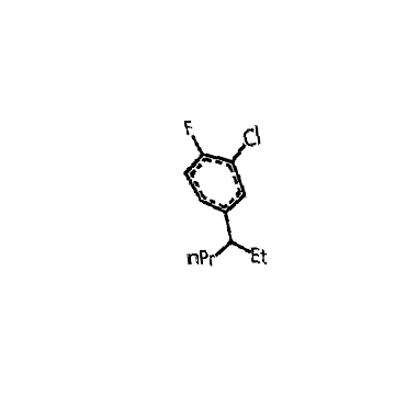 CCCC(CC)c1ccc(F)c(Cl)c1